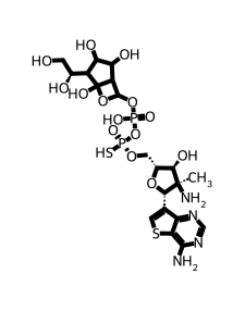 C[C@@]1(N)[C@H](O)[C@@H](COP(=O)(S)OP(=O)(O)OC2OC3(O)C2C(O)C(O)C3[C@@H](O)CO)O[C@H]1c1csc2c(N)ncnc12